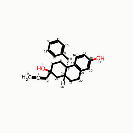 C=C=CC1(O)CC[C@@]2(Cc3ccccc3)c3ccc(O)cc3CC[C@@H]2C1